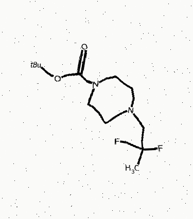 CC(F)(F)CN1CCN(C(=O)OC(C)(C)C)CC1